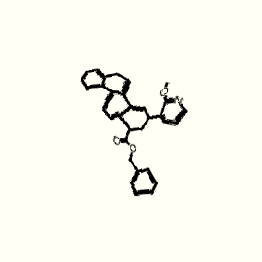 COc1ncccc1C1C=c2c(ccc3c2=CCc2ccccc2-3)C(C(=O)OCc2ccccc2)C1